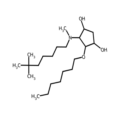 CCCCCCCOC1C(O)CC(O)C1N(C)CCCCCC(C)(C)C